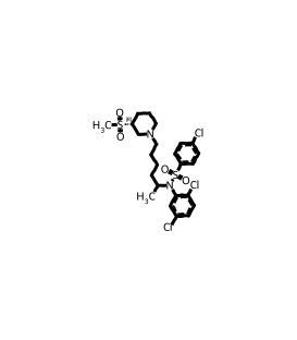 CC(CCCCN1CCC[C@@H](S(C)(=O)=O)C1)N(c1cc(Cl)ccc1Cl)S(=O)(=O)c1ccc(Cl)cc1